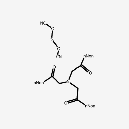 CCCCCCCCCC(=O)CN(CC(=O)CCCCCCCCC)CC(=O)CCCCCCCCC.N#COSOC#N